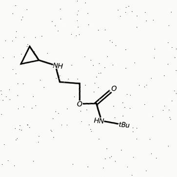 CC(C)(C)NC(=O)OCCNC1CC1